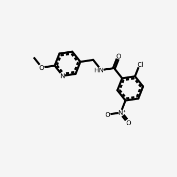 COc1ccc(CNC(=O)c2cc([N+](=O)[O-])ccc2Cl)cn1